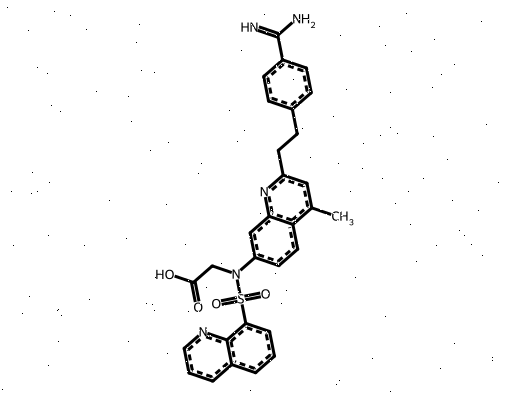 Cc1cc(CCc2ccc(C(=N)N)cc2)nc2cc(N(CC(=O)O)S(=O)(=O)c3cccc4cccnc34)ccc12